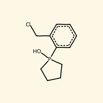 O[P]1(c2ccccc2CCl)CCCC1